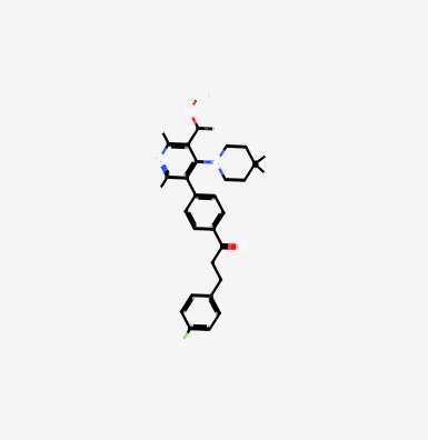 Cc1nc(C)c(C(OC(C)(C)C)C(=O)O)c(N2CCC(C)(C)CC2)c1-c1ccc(C(=O)CCc2ccc(F)cc2)cc1